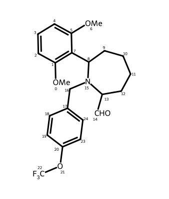 COc1cccc(OC)c1C1CCCCC(C=O)N1Cc1ccc(OC(F)(F)F)cc1